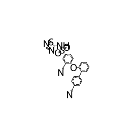 N#Cc1ccc(-c2ccccc2Oc2ccc(S(=O)(=O)Nc3ncns3)cc2C#N)cc1